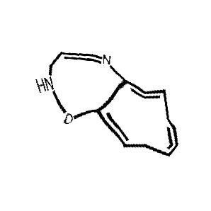 C1=Nc2ccccc2ON1